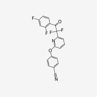 N#Cc1ccc(Oc2cccc(C(F)(F)C(=O)c3ccc(F)cc3F)n2)cc1